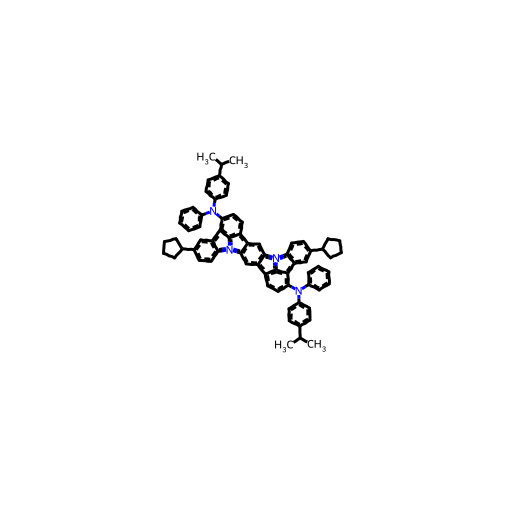 CC(C)c1ccc(N(c2ccccc2)c2ccc3c4cc5c(cc4n4c6ccc(C7CCCC7)cc6c2c34)c2ccc(N(c3ccccc3)c3ccc(C(C)C)cc3)c3c4cc(C6CCCC6)ccc4n5c23)cc1